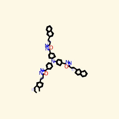 C/C=C\c1cc(/C=C/c2nnc(-c3ccc(N(c4ccc(-c5nnc(/C=C/c6ccc7ccccc7c6)o5)cc4)c4ccc(-c5nnc(/C=C/c6ccc7ccccc7c6)o5)cc4)cc3)o2)ccc1C